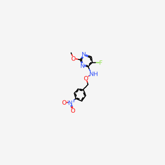 COc1ncc(F)c(NOCc2ccc([N+](=O)[O-])cc2)n1